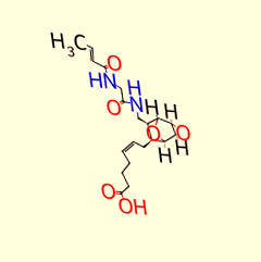 CC=CC(=O)NCC(=O)NC[C@@H]1[C@H](C/C=C\CCCC(=O)O)[C@H]2O[C@@H]1[C@H]1O[C@H]12